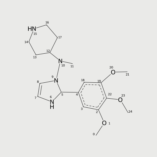 COc1cc(C2NC=CN2N(C)C2CCNCC2)cc(OC)c1OC